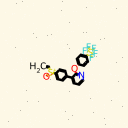 C=C[S+]([O-])c1ccc(-c2cccnc2Oc2ccc(S(F)(F)(F)(F)F)cc2)cc1